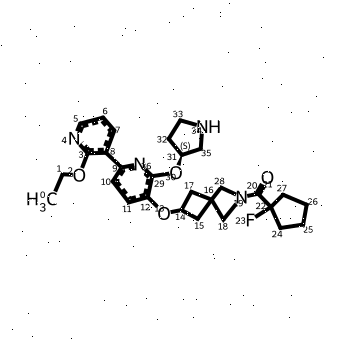 CCOc1ncccc1-c1ccc(OC2CC3(C2)CN(C(=O)C2(F)CCCC2)C3)c(O[C@H]2CCNC2)n1